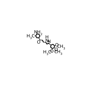 COc1cc(-c2cc(/C=C/C(=O)c3ccc(N)c(C)c3)[nH]n2)cc(OC)c1OC